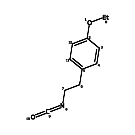 CCOc1ccc(CCN=C=O)cc1